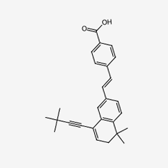 CC(C)(C)C#CC1=CCC(C)(C)c2ccc(C=Cc3ccc(C(=O)O)cc3)cc21